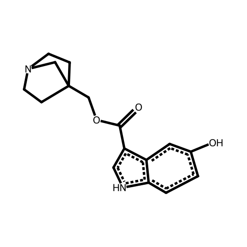 O=C(OCC12CCN(CC1)C2)c1c[nH]c2ccc(O)cc12